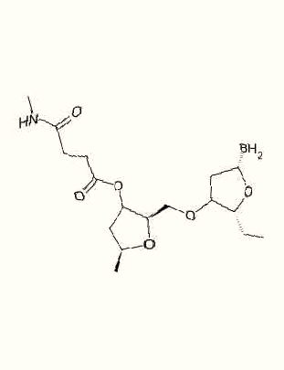 B[C@H]1CC(OC[C@H]2O[C@@H](C)CC2OC(=O)CCC(=O)NC)[C@@H](CC)O1